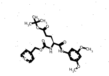 COc1cc(NC(=O)[C@H](CCC(=O)OC(C)(C)C)NC(=O)OCc2ccccc2)cc(OC)c1